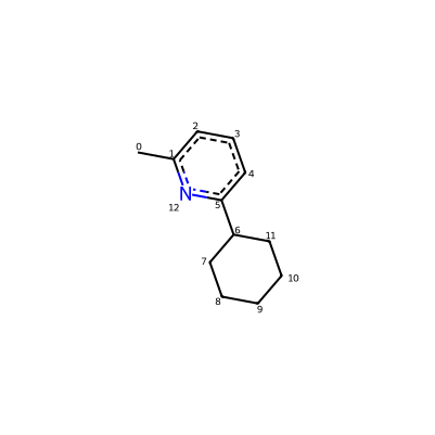 Cc1cccc(C2CCCCC2)n1